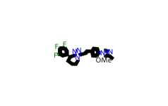 COc1cc(C=Cc2nnc3n2CCCC[C@H]3c2cc(F)c(F)c(F)c2)ccc1-n1cnc(C)c1